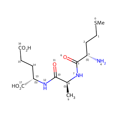 CSCC[C@H](N)C(=O)N[C@@H](C)C(=O)N[C@@H](CCC(=O)O)C(=O)O